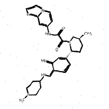 C[C@H]1CC[C@H](C2=CC(=N)/C(=C\NC3CCN(C)CC3)C=C2)N(C(=O)C(=O)Nc2ccn3ccnc3c2)C1